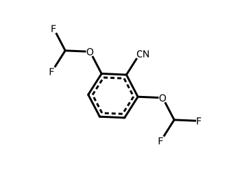 N#Cc1c(OC(F)F)cccc1OC(F)F